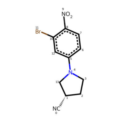 N#C[C@H]1CCN(c2ccc([N+](=O)[O-])c(Br)c2)C1